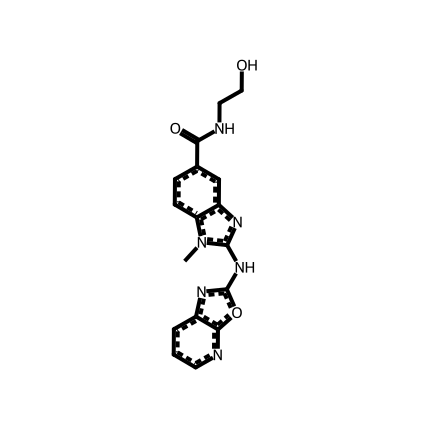 Cn1c(Nc2nc3cccnc3o2)nc2cc(C(=O)NCCO)ccc21